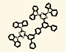 c1ccc(-c2cc(-c3ccc(-c4cc(-c5ccccc5)cc(-c5nc(-n6c7ccccc7c7ccccc76)nc(-n6c7ccccc7c7ccccc76)n5)c4)cc3)cc(-c3nc(-n4c5ccccc5c5ccccc54)nc(-n4c5ccccc5c5ccccc54)n3)c2)cc1